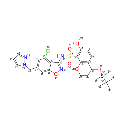 COc1ccc2c(c1S(=O)(=O)Nc1noc3cc(Cn4cccn4)cc(Cl)c13)OCCC2O[Si](C)(C)C(C)(C)C